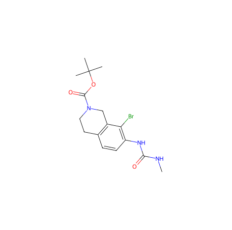 CNC(=O)Nc1ccc2c(c1Br)CN(C(=O)OC(C)(C)C)CC2